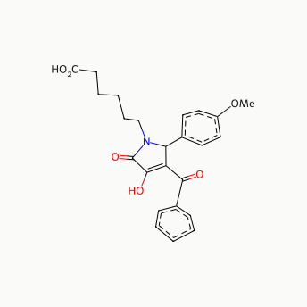 COc1ccc(C2C(C(=O)c3ccccc3)=C(O)C(=O)N2CCCCCC(=O)O)cc1